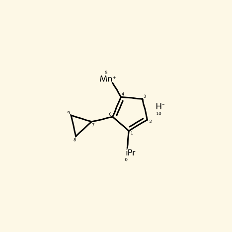 CC(C)C1=CC[C]([Mn+])=C1C1CC1.[H-]